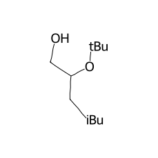 CCC(C)CC(CO)OC(C)(C)C